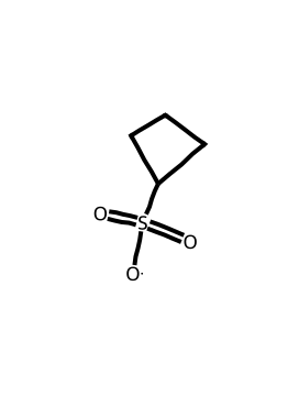 [O]S(=O)(=O)C1CCC1